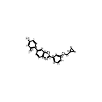 Fc1ccc(-c2ccc3nc(-c4cccc(OCC5CC5)c4)oc3c2)c(F)c1